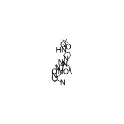 CC#CCn1c(N2CCC[C@H](NC(=O)OC(C)(C)C)C2)nc2c1c(=O)n(Cc1ncccc1C#N)c(=O)n2C